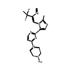 C=N/C(=C\n1c(-c2nccc(N3CCN(C(C)=O)CC3)n2)cnc1C)C(C)(F)F